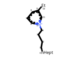 CCCCCCCCCCC[n+]1cccc(CC)c1